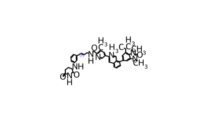 Cc1cc(-c2cc3cccc(-c4cc(C(C)C)c5c(c4)n(C)c(=O)n5C)c3cn2)cnc1C(=O)NC/C=C/c1cccc(NC2CCC(=O)NC2=O)c1